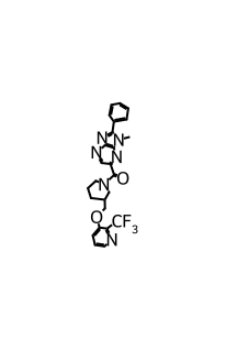 Cn1c(-c2ccccc2)nc2ncc(C(=O)N3CCCC(COc4cccnc4C(F)(F)F)C3)nc21